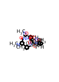 COc1c(CN2O[C@@H](CO)[C@@H]([C@H](C)O)[C@H]2C(=O)N[C@H]2C[C@H]3C[C@@H]([C@@H]2C)C3(C)C)cccc1-c1cc(C(=O)N[C@H]2CN(C)O[C@H]2c2ccccc2)cc(N(C)C)c1